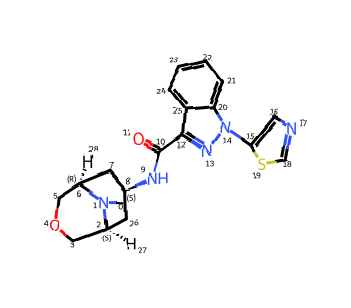 CN1[C@@H]2COC[C@H]1C[C@@H](NC(=O)c1nn(-c3cncs3)c3ccccc13)C2